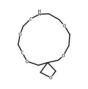 C1COCCOCC2(COCCOCCN1)COC2